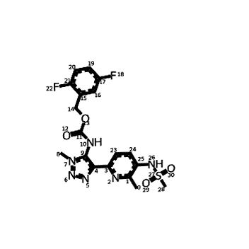 Cc1nc(-c2nnn(C)c2NC(=O)OCc2cc(F)ccc2F)ccc1NS(C)(=O)=O